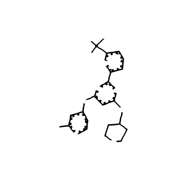 FC(F)(F)c1cc(Nc2cc(NC3CCOCC3)nc(-c3cccc(C(F)(F)P)n3)n2)ccn1